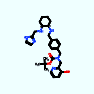 CC(C)(C)OC(=O)N(Cc1ccc(CN[C@@H]2CCCC[C@@H]2NCc2ncc[nH]2)cc1)Cc1ncccc1O